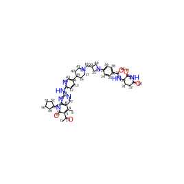 CC(=O)c1c(C)c2cnc(Nc3ccc(C4CCN(CC5CN(c6ccc(C(=O)NC7CCC(=O)NC7=O)cc6)C5)CC4)cn3)nc2n(C2CCCC2)c1=O